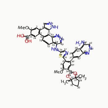 COc1cc(-c2cn[nH]c2)c(-c2ccc3c(Nc4cnc(-c5cc(OC)c(B6O[C@]7(C)CCC[C@]7(C)O6)cc5-c5ccc6c(N)cnnc6c5)s4)cnnc3c2)cc1B(O)O